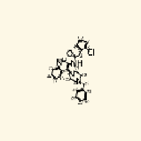 O=C(Cc1ccccc1Cl)Nc1cnc2ccccc2c1N1CCN(Cc2ccccc2)CC1